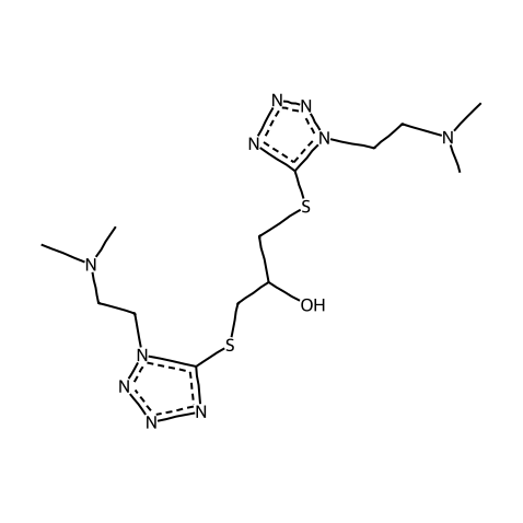 CN(C)CCn1nnnc1SCC(O)CSc1nnnn1CCN(C)C